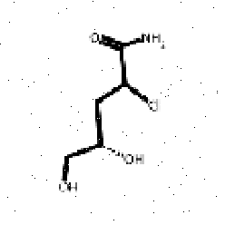 NC(=O)C(Cl)C[C@H](O)CO